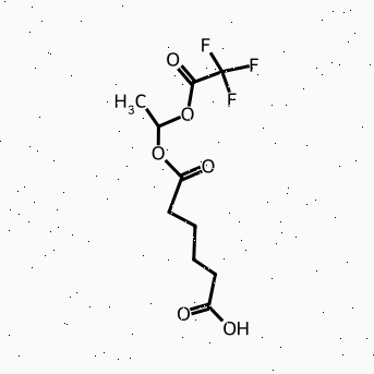 CC(OC(=O)CCCCC(=O)O)OC(=O)C(F)(F)F